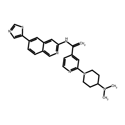 C=C(Nc1cc2cc(-c3cncs3)ccc2cn1)c1ccnc(N2CCC(N(C)C)CC2)c1